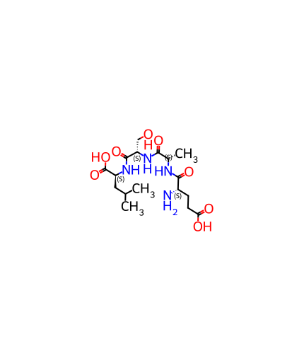 CC(C)C[C@H](NC(=O)[C@H](CO)NC(=O)[C@H](C)NC(=O)[C@@H](N)CCC(=O)O)C(=O)O